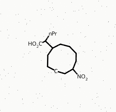 CCCC(C(=O)O)C1CCCCC([N+](=O)[O-])CCCC1